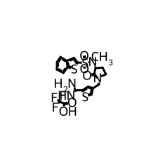 CN([C@H]1CCN(Cc2csc(C(=N)N)c2)C1=O)S(=O)(=O)c1cc2ccccc2s1.O=C(O)C(F)(F)F